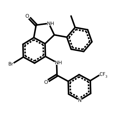 Cc1ccccc1C1NC(=O)c2cc(Br)cc(NC(=O)c3cncc(C(F)(F)F)c3)c21